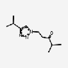 CC(C)C(=O)CCn1cc(C(C)C)nn1